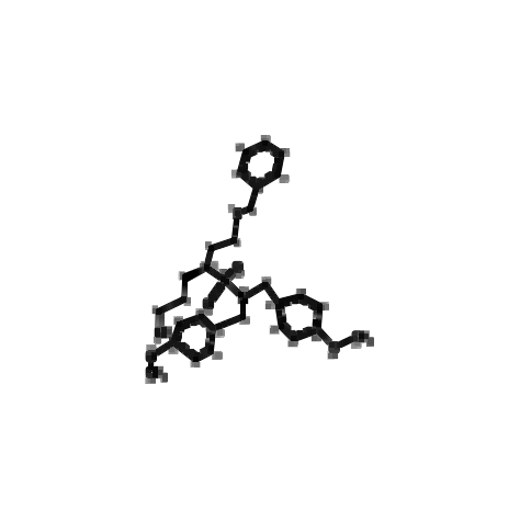 C=CCC[C@@H](CCSCc1ccccc1)S(=O)(=O)N(Cc1ccc(OC)cc1)Cc1ccc(OC)cc1